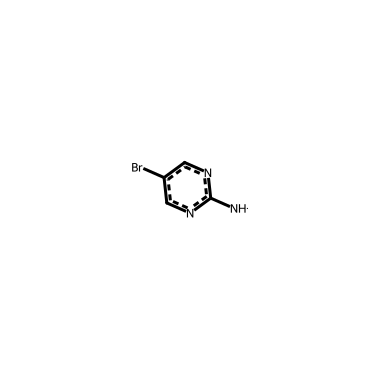 [NH]c1ncc(Br)cn1